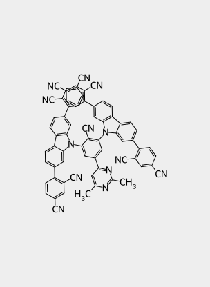 Cc1cc(-c2cc(-n3c4cc(-c5ccc(C#N)cc5C#N)ccc4c4ccc(-c5ccc(C#N)cc5C#N)cc43)c(C#N)c(-n3c4cc(-c5ccc(C#N)cc5C#N)ccc4c4ccc(-c5ccc(C#N)cc5C#N)cc43)c2)nc(C)n1